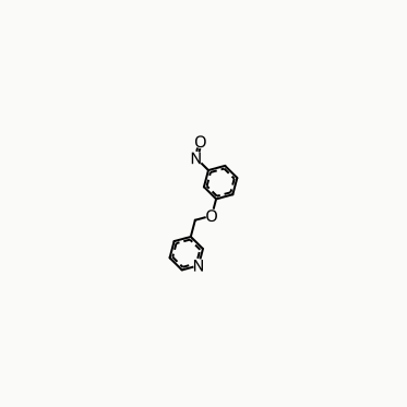 O=Nc1cccc(OCc2cccnc2)c1